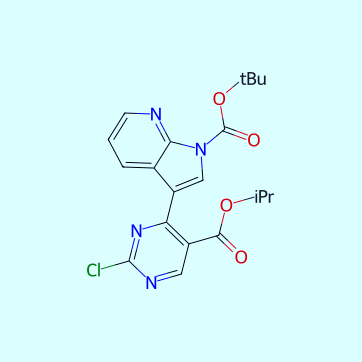 CC(C)OC(=O)c1cnc(Cl)nc1-c1cn(C(=O)OC(C)(C)C)c2ncccc12